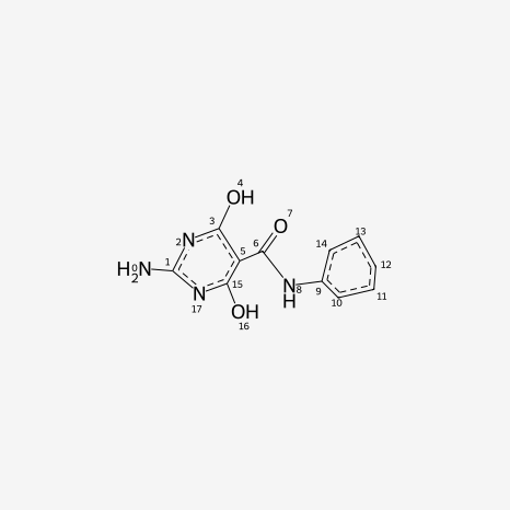 Nc1nc(O)c(C(=O)Nc2ccccc2)c(O)n1